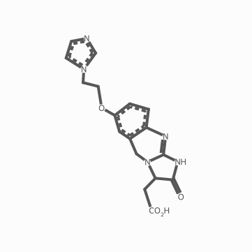 O=C(O)CC1C(=O)NC2=Nc3ccc(OCCn4ccnc4)cc3CN21